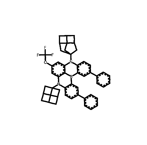 FC(F)(F)Oc1cc2c3c(c1)N(C14CC5CC6CC(C1)C654)c1ccc(-c4ccccc4)cc1B3c1cc(-c3ccccc3)ccc1N2C12CC3CC4CC(C1)C43C2